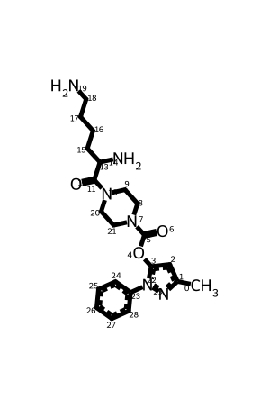 Cc1cc(OC(=O)N2CCN(C(=O)C(N)CCCCN)CC2)n(-c2ccccc2)n1